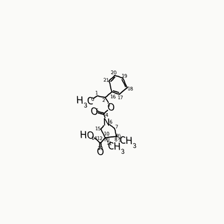 CCC(OC(=O)N1C[C@H](C)[C@@](C)(C(=O)O)C1)c1ccccc1